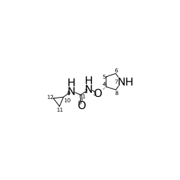 O=C(NO[C@@H]1CCNC1)NC1CC1